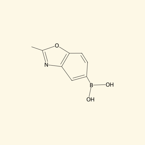 Cc1nc2cc(B(O)O)ccc2o1